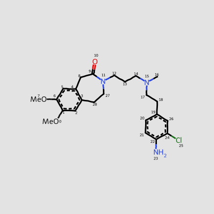 COc1cc2c(cc1OC)CC(=O)N(CCCN(C)CCc1ccc(N)c(Cl)c1)CC2